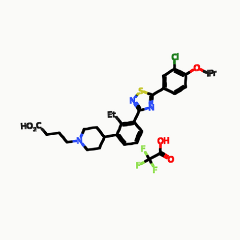 CCc1c(-c2nsc(-c3ccc(OC(C)C)c(Cl)c3)n2)cccc1C1CCN(CCCC(=O)O)CC1.O=C(O)C(F)(F)F